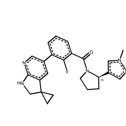 Cn1cc([C@H]2CCCN2C(=O)c2cccc(-c3cnc4c(c3)C3(CC3)CN4)c2F)cn1